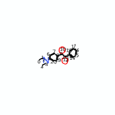 CCN(CC)c1ccc(C(=O)C(=O)c2ccccc2)cc1